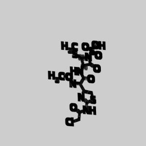 CON=C(C(=O)N[C@@H]1C(=O)N(S(=O)(=O)O)[C@@H]1SC)c1csc(NC(=O)CCl)n1